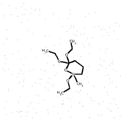 CCOC1(OCC)CCC[Si](C)(OCC)O1